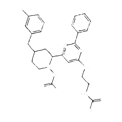 CC(=O)NCCNc1cc(C2CC(Cc3cccc(Cl)c3)CCN2NC(C)=O)nc(-c2ccccc2)n1